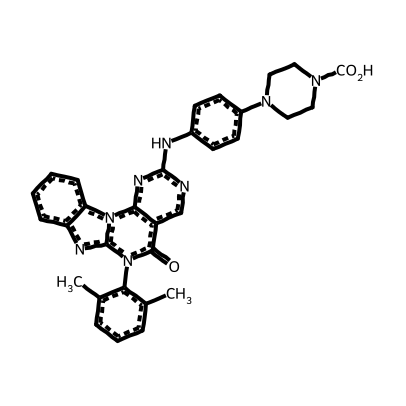 Cc1cccc(C)c1-n1c(=O)c2cnc(Nc3ccc(N4CCN(C(=O)O)CC4)cc3)nc2n2c3ccccc3nc12